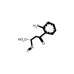 Nc1ccccc1C(=O)C[C@H](N=S)C(=O)O